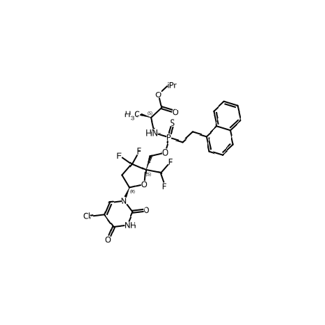 CC(C)OC(=O)[C@H](C)NP(=S)(CCc1cccc2ccccc12)OC[C@@]1(C(F)F)O[C@@H](n2cc(Cl)c(=O)[nH]c2=O)CC1(F)F